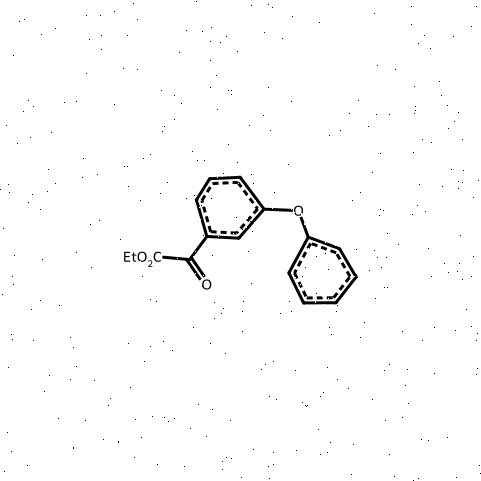 CCOC(=O)C(=O)c1cccc(Oc2ccccc2)c1